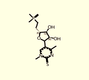 C=P(C)(C)CC[C@H]1OC(c2cn(C)c(=S)nc2C)[C@H](O)[C@@H]1O